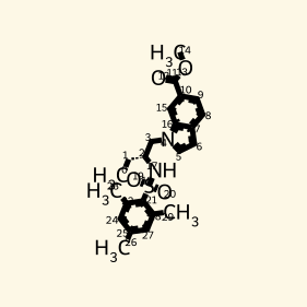 CC[C@H](Cn1ccc2ccc(C(=O)OC)cc21)NS(=O)(=O)c1c(C)cc(C)cc1C